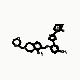 Cc1ccc(OCc2ccc3c(c2C)CCN(CC2COCCO2)CC3)c(-c2csc(N3CC[C@@]4(C(=O)O)C[C@H]4C3)n2)c1